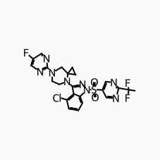 CC(F)(F)c1ncc(S(=O)(=O)n2nc(N3CCN(c4ncc(F)cn4)CC34CC4)c3c(Cl)cccc32)cn1